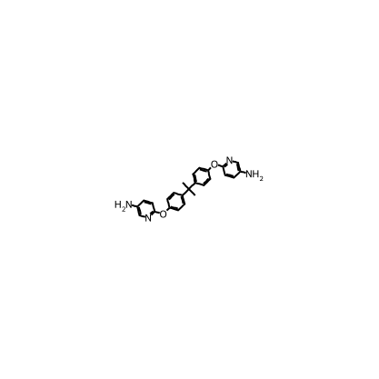 CC(C)(c1ccc(Oc2ccc(N)cn2)cc1)c1ccc(Oc2ccc(N)cn2)cc1